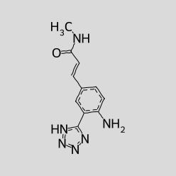 CNC(=O)C=Cc1ccc(N)c(-c2nnn[nH]2)c1